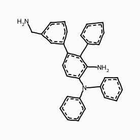 NCc1cccc(-c2ccc(N(c3ccccc3)c3ccccc3)c(N)c2-c2ccccc2)c1